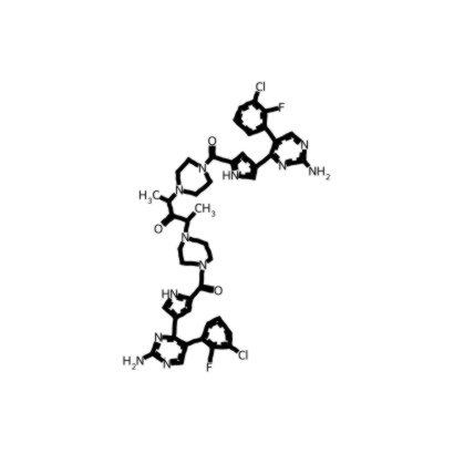 CC(C(=O)C(C)N1CCN(C(=O)c2cc(-c3nc(N)ncc3-c3cccc(Cl)c3F)c[nH]2)CC1)N1CCN(C(=O)c2cc(-c3nc(N)ncc3-c3cccc(Cl)c3F)c[nH]2)CC1